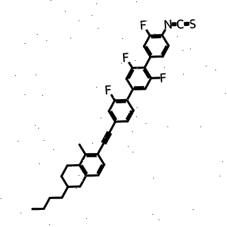 CCCCC1CCc2c(ccc(C#Cc3ccc(-c4cc(F)c(-c5ccc(N=C=S)c(F)c5)c(F)c4)c(F)c3)c2C)C1